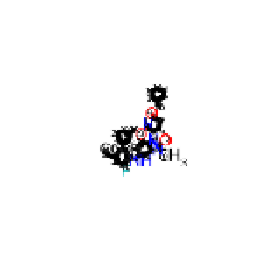 CN1C(=O)N(c2ccc(OCc3ccccc3)nc2OCc2ccccc2)C2C=CC(Nc3ccc(CC(=O)O)cc3F)=CC21